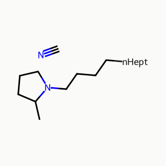 C#N.CCCCCCCCCCCN1CCCC1C